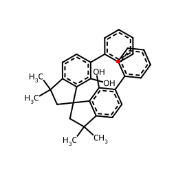 CC1(C)CC2(CC(C)(C)c3ccc(-c4ccccc4)c(O)c32)c2c1ccc(-c1ccccc1)c2O